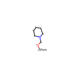 CCCCCOCN1CCCCC1